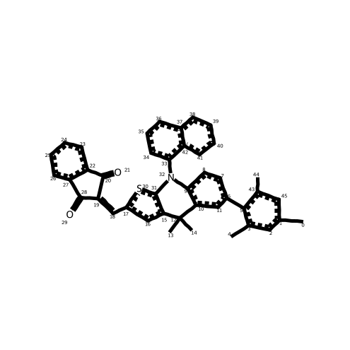 Cc1cc(C)c(-c2ccc3c(c2)C(C)(C)c2cc(C=C4C(=O)c5ccccc5C4=O)sc2N3c2cccc3ccccc23)c(C)c1